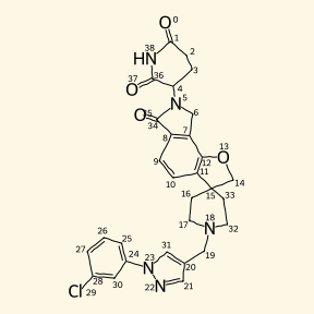 O=C1CCC(N2Cc3c(ccc4c3OCC43CCN(Cc4cnn(-c5cccc(Cl)c5)c4)CC3)C2=O)C(=O)N1